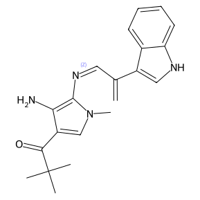 C=C(/C=N\c1c(N)c(C(=O)C(C)(C)C)cn1C)c1c[nH]c2ccccc12